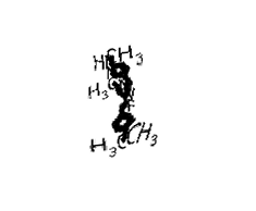 CNc1ccc(Cn2nc(C(F)=Cc3ccc(C(C)C)cc3)cc2C)cn1